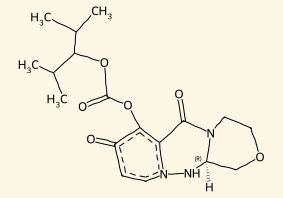 CC(C)C(OC(=O)Oc1c2n(ccc1=O)N[C@@H]1COCCN1C2=O)C(C)C